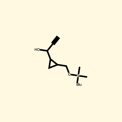 C#CC(O)C1CC1CO[Si](C)(C)C(C)(C)C